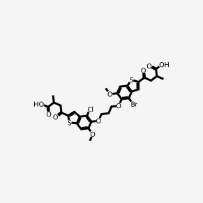 COc1cc2sc(C(=O)CC(C)C(=O)O)cc2c(Cl)c1OCCCOc1c(OC)cc2sc(C(=O)CC(C)C(=O)O)cc2c1Br